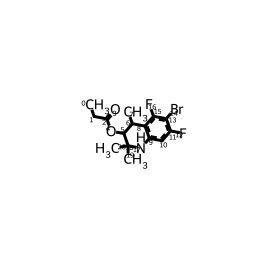 CCC(=O)OC1C(C)c2c(cc(F)c(Br)c2F)NC1(C)C